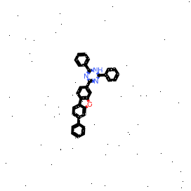 c1ccc(C2=NC(c3ccc4c(c3)oc3cc(-c5ccccc5)ccc34)=NC(c3ccccc3)N2)cc1